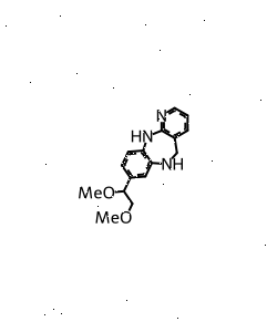 COCC(OC)c1ccc2c(c1)NCc1cccnc1N2